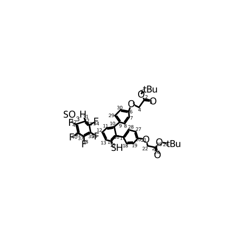 CC(C)(C)OC(=O)COc1ccc(-c2cccc(S)c2-c2ccc(OCC(=O)OC(C)(C)C)cc2)cc1.O=S(=O)(O)c1c(F)c(F)c(F)c(F)c1F